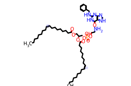 CCCCCCCC/C=C\CCCCCCCC(=O)OCC(COP(=O)(O)OCCN)OC(=O)CCCCCCC/C=C\CCCCCCCC.O=c1[nH]c(NCc2ccccc2)nc2nc[nH]c12